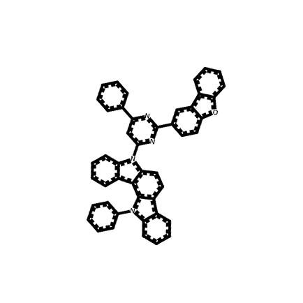 c1ccc(-c2cc(-n3c4ccccc4c4c3ccc3c5ccccc5n(-c5ccccc5)c34)nc(-c3ccc4oc5ccccc5c4c3)n2)cc1